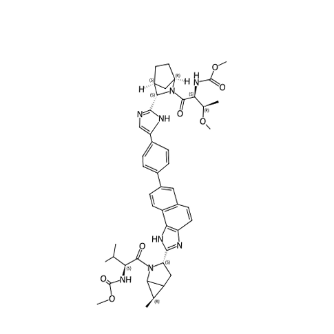 COC(=O)N[C@H](C(=O)N1C2C(C[C@H]1c1nc3ccc4cc(-c5ccc(-c6cnc([C@@H]7[C@H]8CC[C@H](C8)N7C(=O)[C@@H](NC(=O)OC)[C@@H](C)OC)[nH]6)cc5)ccc4c3[nH]1)[C@H]2C)C(C)C